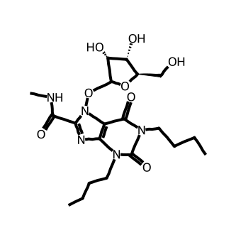 CCCCn1c(=O)c2c(nc(C(=O)NC)n2OC2O[C@H](CO)[C@@H](O)[C@H]2O)n(CCCC)c1=O